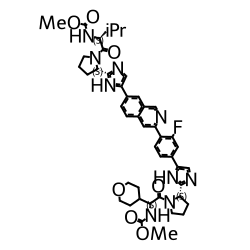 COC(=O)N[C@H](C(=O)N1CCC[C@H]1c1ncc(-c2ccc3cc(-c4ccc(-c5cnc([C@@H]6CCCN6C(=O)[C@@H](NC(=O)OC)C6CCOCC6)[nH]5)cc4F)ncc3c2)[nH]1)C(C)C